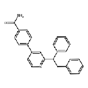 NC(=O)c1ccc(-c2ccnc(C(Cc3ccccc3)c3ccccc3)c2)cc1